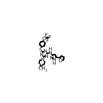 CN1CCN(c2nc(Nc3cc(-c4ccco4)[nH]n3)nc(Sc3ccc(OC(F)(F)F)cc3)n2)CC1